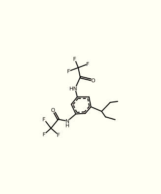 CCC(CC)c1cc(NC(=O)C(F)(F)F)cc(NC(=O)C(F)(F)F)c1